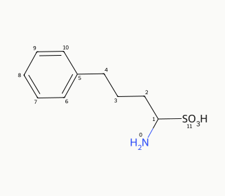 NC(CCCc1ccccc1)S(=O)(=O)O